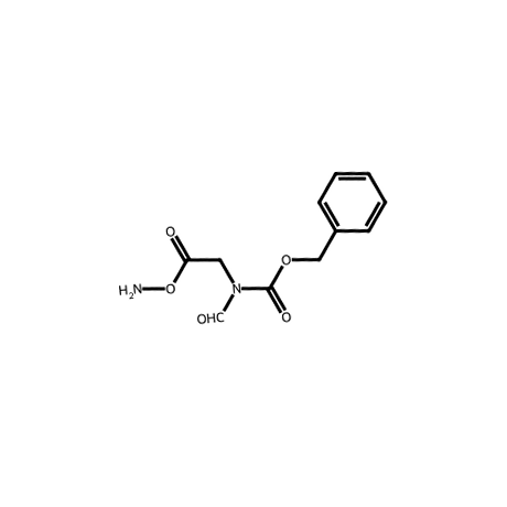 NOC(=O)CN(C=O)C(=O)OCc1ccccc1